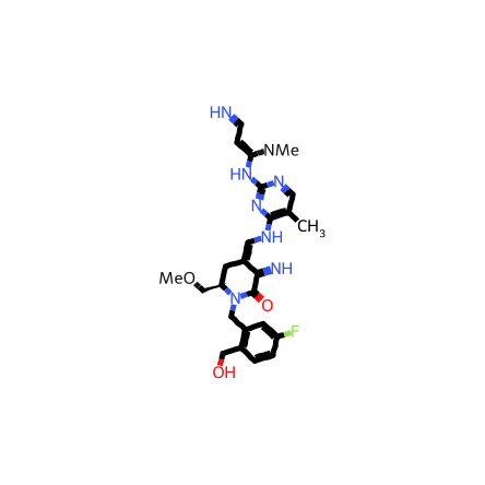 CN/C(=C\C=N)Nc1ncc(C)c(N/C=C2/C[C@H](COC)N(Cc3cc(F)ccc3CO)C(=O)C2=N)n1